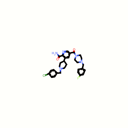 NC(=O)c1ncc(C(=O)N2CCN(Cc3ccc(F)cc3)CC2)cc1C1CCN(Cc2ccc(Cl)cc2)CC1